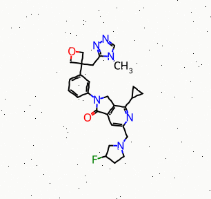 Cn1cnnc1CC1(c2cccc(N3Cc4c(cc(CN5CCC(F)C5)nc4C4CC4)C3=O)c2)COC1